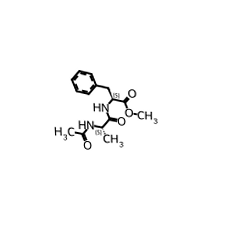 COC(=O)[C@H](Cc1ccccc1)NC(=O)[C@H](C)NC(C)=O